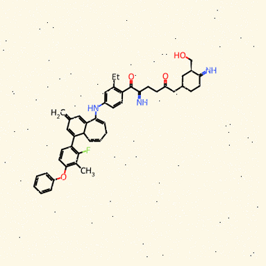 C=C1C=C2C(Nc3ccc(C(=O)C(=N)CCC(=O)CC4CCC(=N)[C@H](CO)C4)c(CC)c3)=CCC=CC2C(c2ccc(Oc3ccccc3)c(C)c2F)=C1